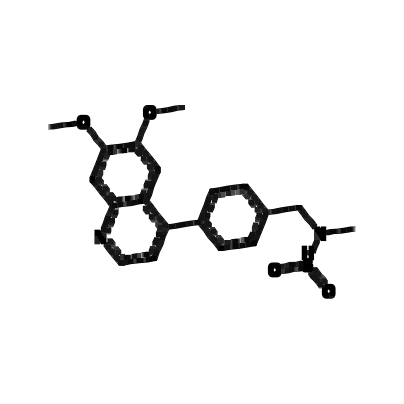 COc1cc2nccc(-c3ccc(CN(C)[SH](=O)=O)cc3)c2cc1OC